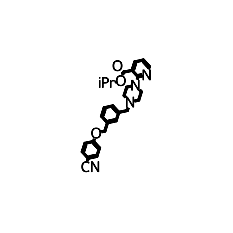 CC(C)OC(=O)c1cccnc1N1CCN(Cc2cccc(COc3ccc(C#N)cc3)c2)CC1